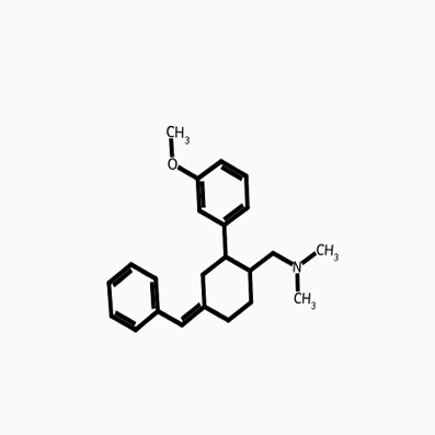 COc1cccc(C2CC(=Cc3ccccc3)CCC2CN(C)C)c1